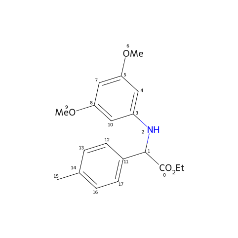 CCOC(=O)C(Nc1cc(OC)cc(OC)c1)c1ccc(C)cc1